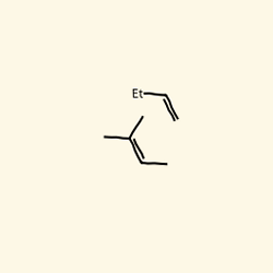 C=CCC.CC=C(C)C